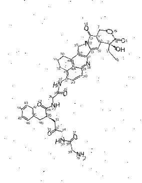 CC[C@@]1(O)C(=O)OCc2c1cc1n(c2=O)Cc2c-1nc1ccc(NC(=O)CNC(=O)[C@@H](CC(=O)CNC(=O)CN)Cc3ccccc3)c3c1c2CCC3